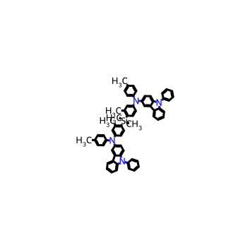 Cc1ccc(N(c2ccc([Si](C)(C)c3ccc(N(c4ccc(C)cc4)c4ccc5c(c4)c4ccccc4n5-c4ccccc4)cc3C)c(C)c2)c2ccc3c(c2)c2ccccc2n3-c2ccccc2)cc1